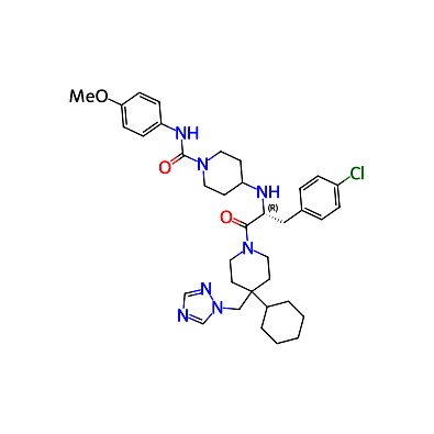 COc1ccc(NC(=O)N2CCC(N[C@H](Cc3ccc(Cl)cc3)C(=O)N3CCC(Cn4cncn4)(C4CCCCC4)CC3)CC2)cc1